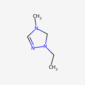 CCN1CN(C)C=N1